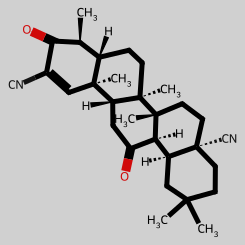 [C-]#[N+]C1=C[C@]2(C)[C@H]3CC(=O)[C@@H]4[C@@H]5CC(C)(C)CC[C@]5(C#N)CC[C@@]4(C)[C@]3(C)CC[C@H]2[C@H](C)C1=O